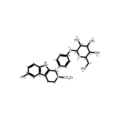 CCOC(=O)N1CCc2c([nH]c3ccc(Cl)cc23)[C@@H]1c1ccc(OC2OC(CO)C(O)C(O)C2O)cc1